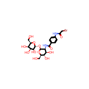 O=C(CBr)Nc1ccc(C(=O)N[C@@H]2[C@H](O[C@H]3O[C@H](CO)[C@H](O)[C@H](O)[C@H]3O)O[C@H](CO)[C@@H](O)[C@@H]2O)cc1